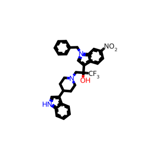 O=[N+]([O-])c1ccc2c(C(O)(CN3CCC(c4c[nH]c5ccccc45)CC3)C(F)(F)F)cn(Cc3ccccc3)c2c1